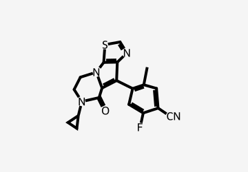 Cc1cc(C#N)c(F)cc1-c1c2n(c3scnc13)CCN(C1CC1)C2=O